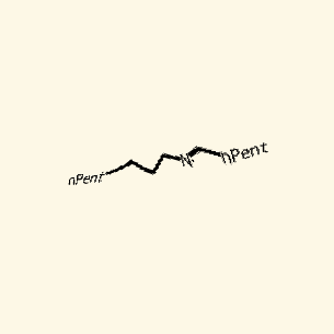 CCCCCCCC[N]CCCCCC